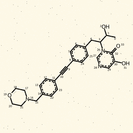 CC(O)C(Cc1ccc(C#Cc2ccc(CN3CCOCC3)cc2)cc1)n1cncc(O)c1=O